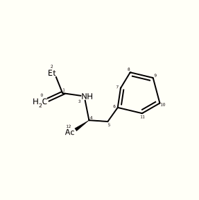 C=C(CC)N[C@@H](Cc1ccccc1)C(C)=O